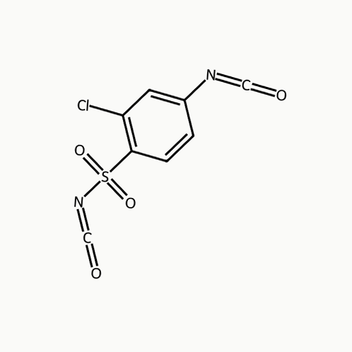 O=C=Nc1ccc(S(=O)(=O)N=C=O)c(Cl)c1